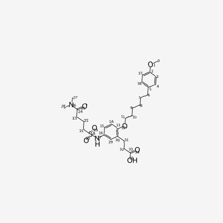 COc1ccc(CCCCCCOc2ccc(NS(=O)(=O)CCCC(=O)N(C)C)cc2CCC(=O)O)cc1